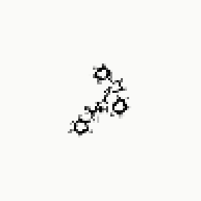 S=C(NCCSP1N(c2ccccc2)CCN1c1ccccc1)Nc1ccccc1